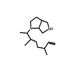 C=CC(C)CCC(C)C(C)N1CCC2CNCC21